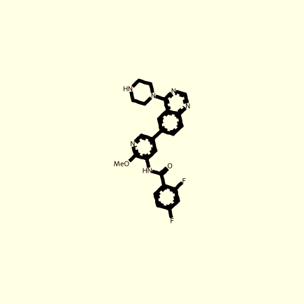 COc1ncc(-c2ccc3ncnc(N4CCNCC4)c3c2)cc1NC(=O)c1ccc(F)cc1F